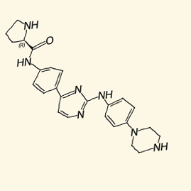 O=C(Nc1ccc(-c2ccnc(Nc3ccc(N4CCNCC4)cc3)n2)cc1)[C@H]1CCCN1